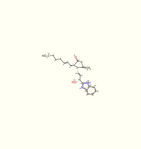 C=C1CC(=O)[C@H](CC=CCCCC(=O)O)[C@H]1C=C[C@@H](O)c1nc2ccccc2[nH]1